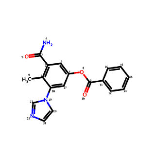 Cc1c(C(N)=O)cc(OC(=O)c2ccccc2)cc1-n1ccnc1